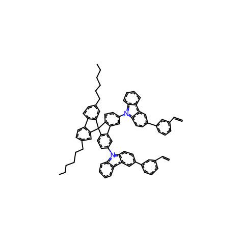 C=Cc1cccc(-c2ccc3c(c2)c2ccccc2n3-c2ccc3c(c2)-c2cc(-n4c5ccccc5c5cc(-c6cccc(C=C)c6)ccc54)ccc2C32c3cc(CCCCCC)ccc3-c3ccc(CCCCCC)cc32)c1